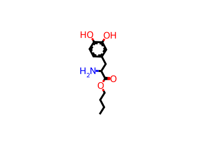 CCCCOC(=O)C(N)Cc1ccc(O)c(O)c1